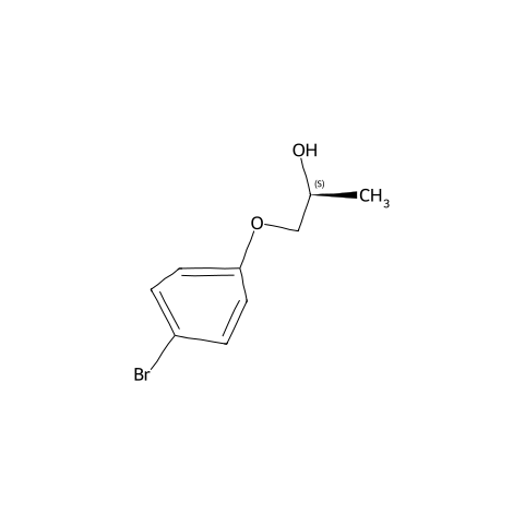 C[C@H](O)COc1ccc(Br)cc1